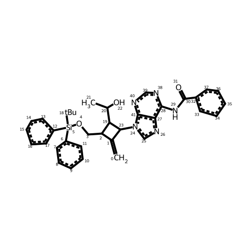 C=C1C(CO[Si](c2ccccc2)(c2ccccc2)C(C)(C)C)C(C(C)O)C1n1cnc2c(NC(=O)c3ccccc3)ncnc21